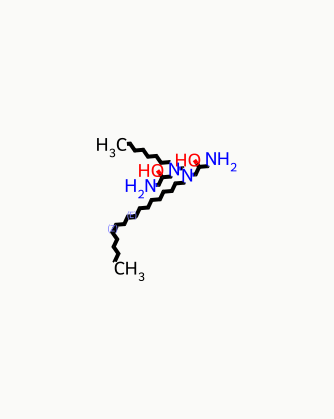 CCCCC/C=C\C/C=C/CCCCCCCCN(CC(O)CN)CN(CCCCCCCC)CC(O)CN